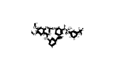 C#Cc1cccc(Nc2nc(Nc3cccc(NS(=O)(=O)c4cccc(C(F)(F)F)c4)c3)nc3cc(OC)c(OC)cc23)c1